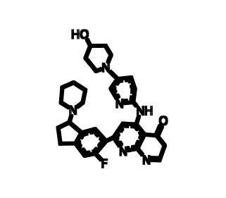 O=C1CC=Nc2nc(-c3cc4c(cc3F)CCC4N3CCCCC3)cc(Nc3ccc(N4CCC(O)CC4)cn3)c21